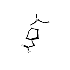 CCN(C)C[C@H]1CC[C@@H](CC(=O)O)CC1